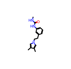 CNC(=O)Nc1cccc(CCn2cc(C)c(C)c2)c1